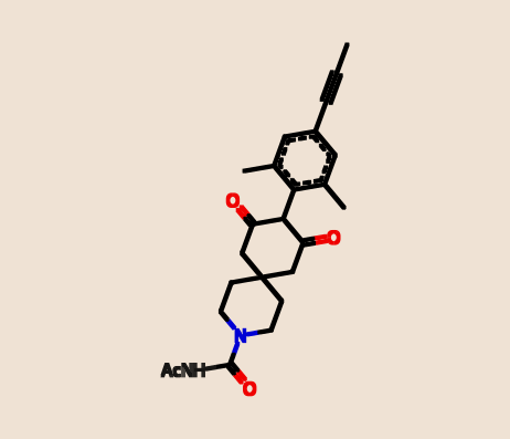 CC#Cc1cc(C)c(C2C(=O)CC3(CCN(C(=O)NC(C)=O)CC3)CC2=O)c(C)c1